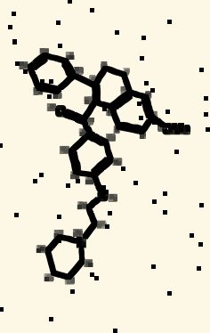 COc1ccc2c(c1)CCC(c1ccccc1)=C2C(=O)c1ccc(OCCN2CCCCC2)cc1